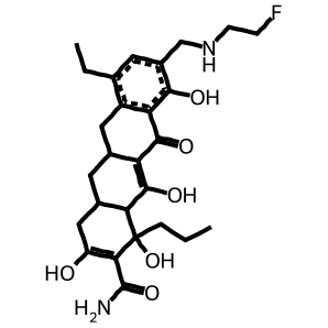 CCCC1(O)C(C(N)=O)=C(O)CC2CC3Cc4c(CC)cc(CNCCF)c(O)c4C(=O)C3=C(O)C21